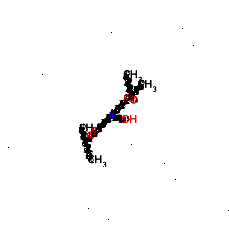 CCCCCCC(CCCC)COCOCCCCCCN(CCCO)CCCCCCOC(=O)C(CCCC)CCCCCC